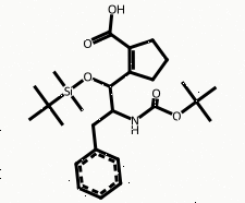 CC(C)(C)OC(=O)NC(Cc1ccccc1)C(O[Si](C)(C)C(C)(C)C)C1=C(C(=O)O)CCC1